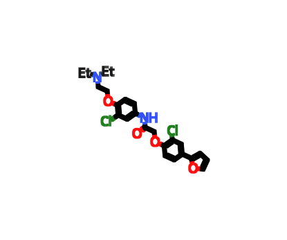 CCN(CC)CCOc1ccc(NC(=O)COc2ccc(-c3ccco3)cc2Cl)cc1Cl